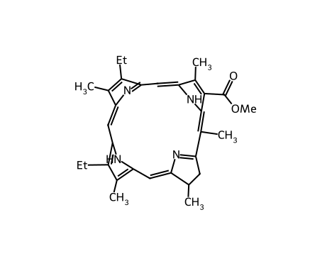 CCC1=C(C)c2cc3[nH]c(cc4nc(c(C)c5[nH]c(cc1n2)c(C)c5C(=O)OC)CC4C)c(C)c3CC